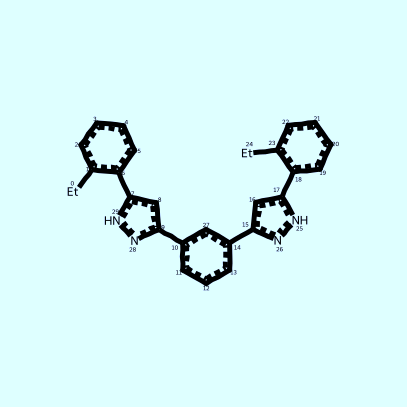 CCc1ccccc1-c1cc(-c2cccc(-c3cc(-c4ccccc4CC)[nH]n3)c2)n[nH]1